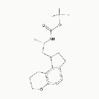 C[C@@H](CN1CCc2ccc3c(c21)CCCO3)NC(=O)OC(C)(C)C